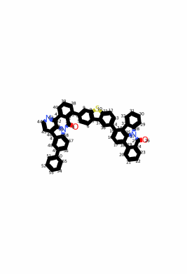 O=c1c2c(-c3ccc4c(c3)sc3ccc(-c5ccc6c7ccccc7c(=O)n7c8ccccc8c5c67)cc34)cccc2c2nccc3c4cc(-c5ccccc5)ccc4n1c32